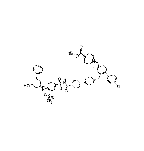 CC1(CN2CCN(C(=O)OC(C)(C)C)CC2)CCC(c2ccc(Cl)cc2)=C(CN2CCN(c3ccc(C(=O)NS(=O)(=O)c4ccc(NC(CCO)CSc5ccccc5)c(S(=O)(=O)C(F)(F)F)c4)cc3)CC2)C1